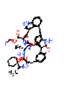 C=C(N[C@H]1Cc2ccc3c(c2)C24c5cccc(c5NC2O3)-c2cccc3[nH]cc(c23)-c2oc(nc2C(=O)OCI)-c2nc(oc24)[C@H](C(C)C)NC1=O)C1(O)CCCCC1